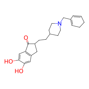 O=C1c2cc(O)c(O)cc2CC1CCC1CCN(CC2=CCCC=C2)CC1